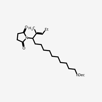 CC/C=C(\C)C(CCCCCCCCCCCCCCCCCCCC)N1C(=O)CCC1=O